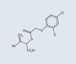 C=C(C#N)C(OC(=O)COc1ccc(Cl)cc1Cl)C(=O)OCC